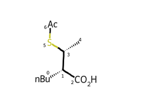 CCCC[C@@H](C(=O)O)[C@@H](C)SC(C)=O